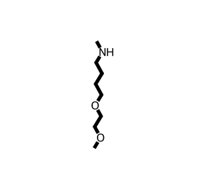 CNCCCCOCCOC